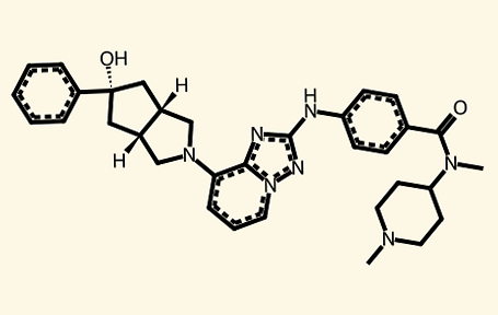 CN1CCC(N(C)C(=O)c2ccc(Nc3nc4c(N5C[C@@H]6C[C@@](O)(c7ccccc7)C[C@@H]6C5)cccn4n3)cc2)CC1